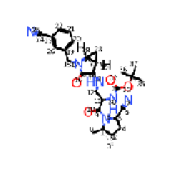 CC1[C@@H](C)CC(C#N)N1C(=O)C(CN[C@@H]1C(=O)N(Cc2cccc(C#N)c2)[C@@H]2C[C@@H]12)NC(=O)OC(C)(C)C